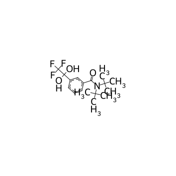 CC(C)(C)N(C(=O)c1cccc(C(O)(O)C(F)(F)F)c1)C(C)(C)C